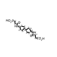 O=C(O)/C=C/C(=O)Nc1ccc(-c2ccc(NC(=O)/C=C/C(=O)O)cc2)cc1